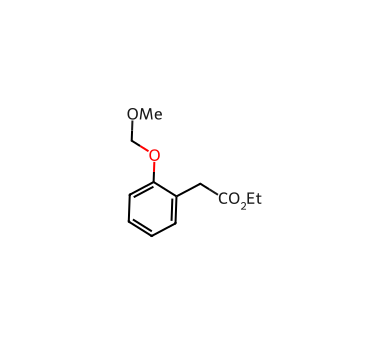 CCOC(=O)Cc1ccccc1OCOC